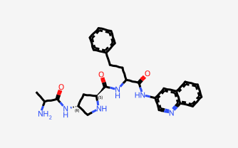 CC(N)C(=O)N[C@H]1CN[C@H](C(=O)NC(CCc2ccccc2)C(=O)Nc2cnc3ccccc3c2)C1